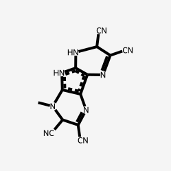 CN1c2[nH]c3c(c2N=C(C#N)C1C#N)N=C(C#N)C(C#N)N3